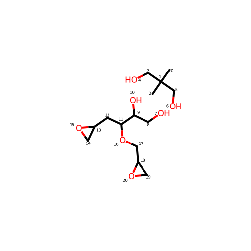 CC(C)(CO)CO.OCC(O)C(CC1CO1)OCC1CO1